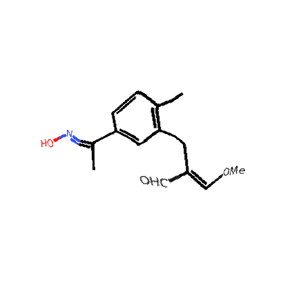 CO/C=C(/C=O)Cc1cc(/C(C)=N/O)ccc1C